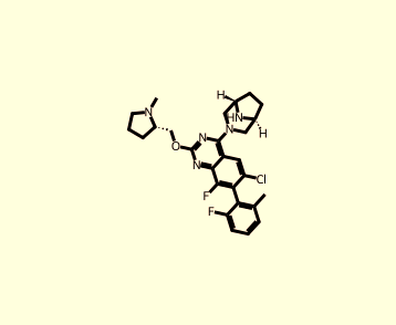 Cc1cccc(F)c1-c1c(Cl)cc2c(N3C[C@@H]4CC[C@@H](C3)N4)nc(OC[C@@H]3CCCN3C)nc2c1F